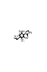 CC1(C)C(=N)C(N2CCNC2=S)=C(C#N)C(C(F)(F)F)=C1CCF